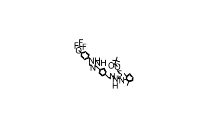 Cc1cccc(C)c1/N=C(/N/N=C/c1ccc(C(=N)/N=C\Nc2ccc(OC(F)(F)F)cc2)cc1)SCOC(=O)C(C)(C)C